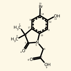 CC1(C)C(=O)N(CC(=O)O)c2cc(O)c(Br)cc21